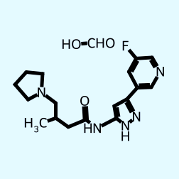 CC(CC(=O)Nc1cc(-c2cncc(F)c2)n[nH]1)CN1CCCC1.O=CO